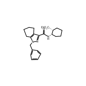 CCOC(=O)[C@@H]1CCCC[C@@H]1NC(=O)c1nn(Cc2ccccc2)c2c1CCCC2